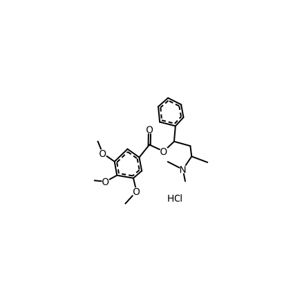 COc1cc(C(=O)OC(CC(C)N(C)C)c2ccccc2)cc(OC)c1OC.Cl